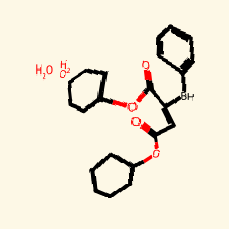 O.O.O=C(/C=C(/Bc1ccccc1)C(=O)OC1CCCCC1)OC1CCCCC1